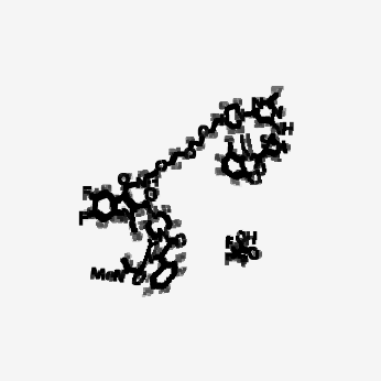 CNC(C)C(=O)NC(C(=O)N1CCN(C(=O)c2c(C(=O)NCCOCCOCCOCCN3CCN(c4cc(Nc5ncc(C(=O)Nc6c(C)cccc6Cl)s5)nc(C)n4)CC3)c3cc(F)c(F)cc3n2C)CC1)C1CCCCC1.O=C(O)C(F)(F)F